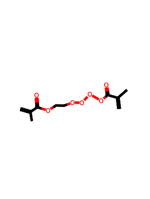 C=C(C)C(=O)OCCOOOOC(=O)C(=C)C